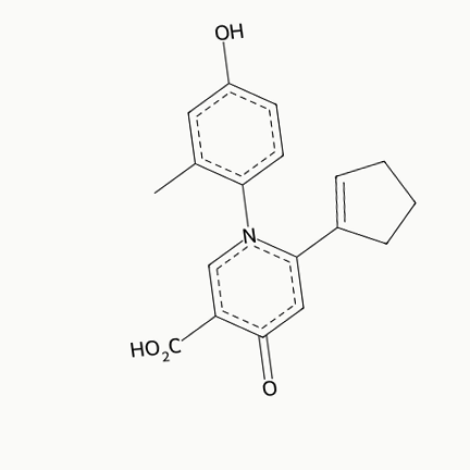 Cc1cc(O)ccc1-n1cc(C(=O)O)c(=O)cc1C1=CCCC1